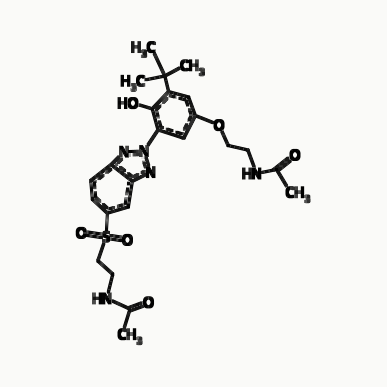 CC(=O)NCCOc1cc(-n2nc3ccc(S(=O)(=O)CCNC(C)=O)cc3n2)c(O)c(C(C)(C)C)c1